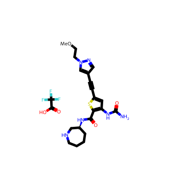 COCCn1cc(C#Cc2cc(NC(N)=O)c(C(=O)N[C@H]3CCCCNC3)s2)cn1.O=C(O)C(F)(F)F